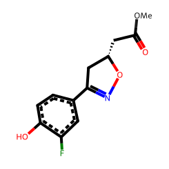 COC(=O)C[C@H]1CC(c2ccc(O)c(F)c2)=NO1